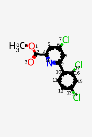 COC(=O)c1cc(Cl)cc(-c2ccc(Cl)cc2Cl)n1